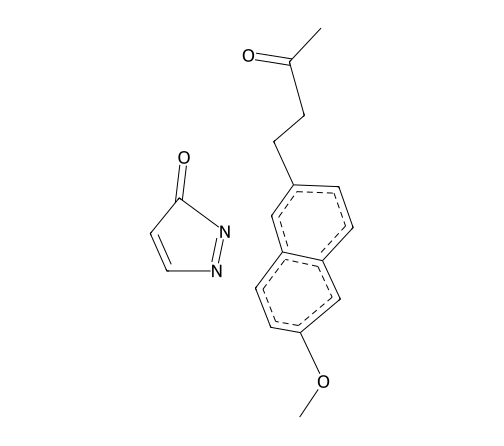 COc1ccc2cc(CCC(C)=O)ccc2c1.O=C1C=CN=N1